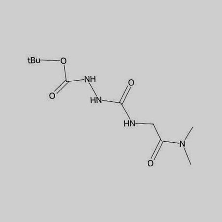 CN(C)C(=O)CNC(=O)NNC(=O)OC(C)(C)C